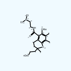 CCCCCCCCCCCCC1(C)CCc2c(c(C)c(C)c(OC)c2C(=O)NCCN(CC)CC)O1